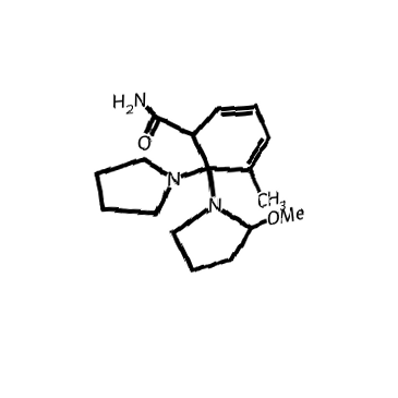 COC1CCCN1C1(N2CCCC2)C(C)=CC=CC1C(N)=O